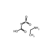 CCN.O=C(O)N=S(=O)=O